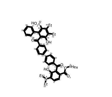 CCCCCCOC(=O)c1ccc(N(CC)CC)c(O)c1C(=O)c1ccccc1.CCc1c(O)c(C(=O)c2ccccc2)c(-c2ccccc2)c(C(=O)O)c1CC